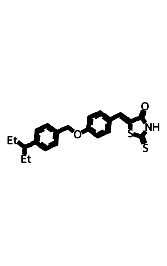 CCC(CC)c1ccc(COc2ccc(/C=C3\SC(=S)NC3=O)cc2)cc1